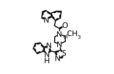 C[C@@H]1CN(c2scnc2-c2nc3ccccc3[nH]2)CCN1C(=O)Cc1cccc2cccnc12